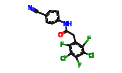 N#Cc1ccc(NC(=O)Cc2c(F)c(Cl)c(F)c(Cl)c2F)cc1